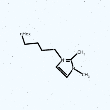 [CH2]CCCCCCCCC[n+]1ccn(C)c1C